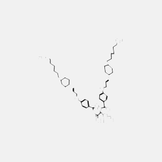 CCCCCCC[C@H]1CC[C@H](C=CCOc2ccc(C(=O)O[C@H](C)[C@@H](C)OC(=O)c3ccc(OCC=C[C@H]4CC[C@H](CCCCCCC)CC4)cc3)cc2)CC1